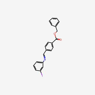 O=C(OCc1ccccc1)c1ccc(/C=N/c2cccc(I)c2)cc1